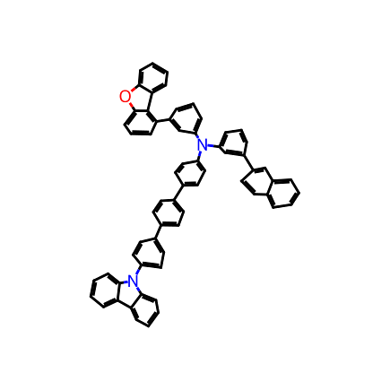 c1cc(-c2ccc3ccccc3c2)cc(N(c2ccc(-c3ccc(-c4ccc(-n5c6ccccc6c6ccccc65)cc4)cc3)cc2)c2cccc(-c3cccc4oc5ccccc5c34)c2)c1